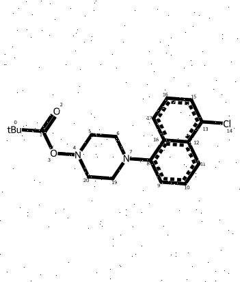 CC(C)(C)C(=O)ON1CCN(c2cccc3c(Cl)cccc23)CC1